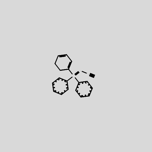 C#[N+]N=P(C1=CC=CCC1)(c1ccccc1)c1ccccc1